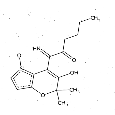 CCCCC(=O)C(=N)C1=C(O)C(C)(C)Oc2cc[s+]([O-])c21